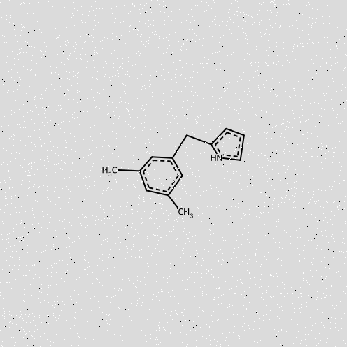 Cc1cc(C)cc(Cc2ccc[nH]2)c1